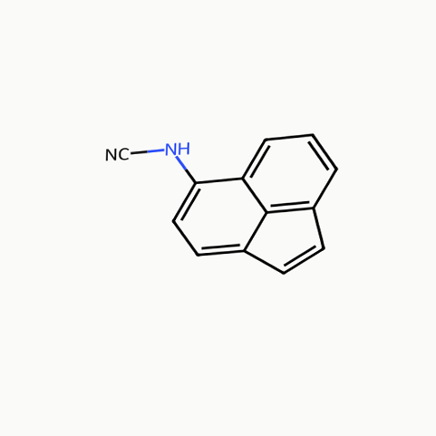 N#CNc1ccc2c3c(cccc13)C=C2